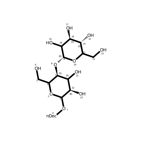 CCCCCCCCCCOC1OC(CO)[C@@H](O[C@H]2OC(CO)[C@@H](O)[C@H](O)C2O)C(O)[C@H]1O